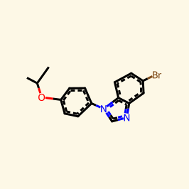 CC(C)Oc1ccc(-n2cnc3cc(Br)ccc32)cc1